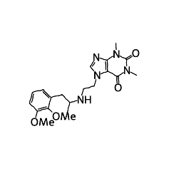 COc1cccc(CC(C)NCCn2cnc3c2c(=O)n(C)c(=O)n3C)c1OC